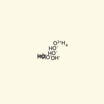 [In+3].[OH-].[OH-].[OH-].[OH-].[OH-].[OH4+2]